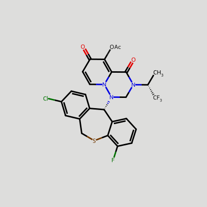 CC(=O)Oc1c2n(ccc1=O)N([C@H]1c3ccc(Cl)cc3CSc3c(F)cccc31)CN([C@H](C)C(F)(F)F)C2=O